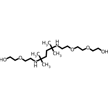 CC(C)(CCC(C)(C)NCCOCCOCCO)NCCOCCO